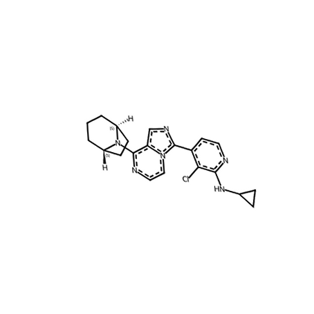 Clc1c(-c2ncc3c(N4[C@H]5CCC[C@H]4CC5)nccn23)ccnc1NC1CC1